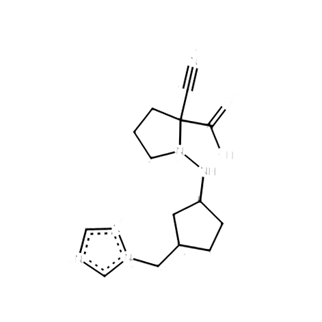 CC(=O)C1(C#N)CCCN1NC1CCC(Cn2cncn2)C1